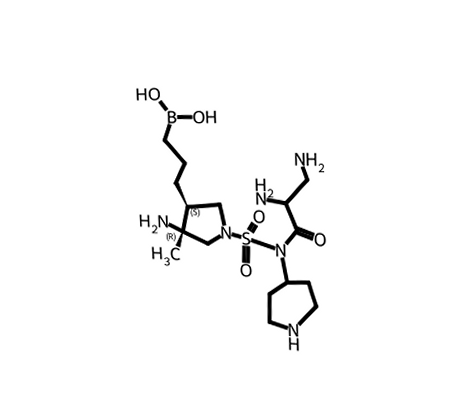 C[C@]1(N)CN(S(=O)(=O)N(C(=O)C(N)CN)C2CCNCC2)C[C@@H]1CCCB(O)O